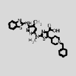 Cc1cc(N(C)c2nc(C(=O)O)c(C3CCN(Cc4ccccc4)CC3)s2)nnc1Nc1nc2ccccc2s1